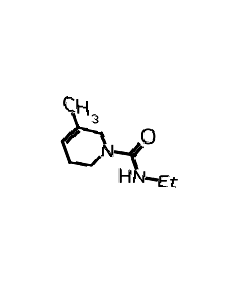 CCNC(=O)N1CCC=C(C)C1